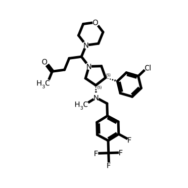 CC(=O)CCC(N1CCOCC1)N1C[C@H](c2cccc(Cl)c2)[C@H](N(C)Cc2ccc(C(F)(F)F)c(F)c2)C1